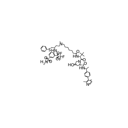 Cc1ncsc1-c1ccc(C(C)NC(=O)[C@@H]2C[C@@H](O)CN2C(=O)C(NC(=O)CCCCCCN(C)CCC(CSc2ccccc2)Nc2ccc(S(N)(=O)=O)cc2S(=O)(=O)C(F)(F)F)C(C)(C)C)cc1